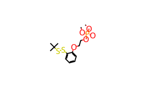 COP(=O)(OC)OCCOc1ccccc1SSC(C)(C)C